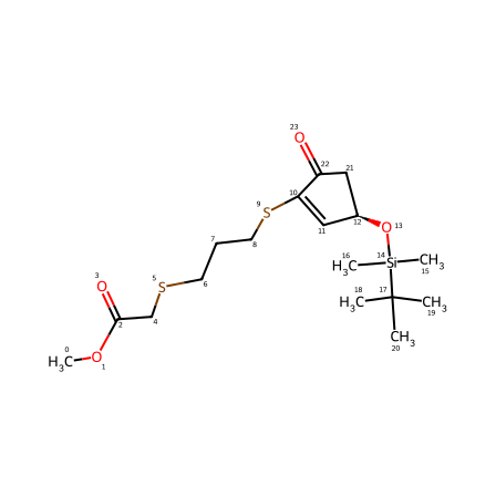 COC(=O)CSCCCSC1=C[C@H](O[Si](C)(C)C(C)(C)C)CC1=O